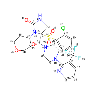 O=C1NC[C@@](C(=O)N2CCN(c3ncccc3C(F)(F)F)CC2)(S(=O)(=O)c2ccccc2Cl)N1C1CCOCC1